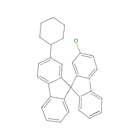 Clc1ccc2c(c1)C1(c3ccccc3-2)c2ccccc2-c2ccc(C3CCCCC3)cc21